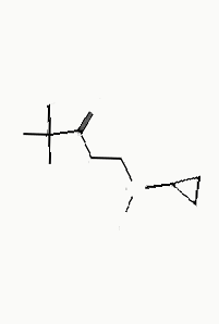 CC(C)(C)C(=O)CC[S+]([O-])C1CC1